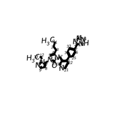 CCCCc1cn(-c2ccnn2CC)c(=O)n1Cc1cnccc1-c1ccc(-c2nnn[nH]2)cc1